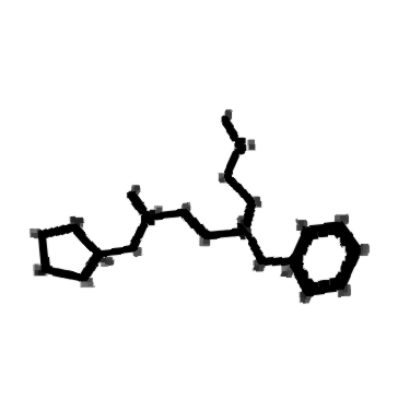 CSCCN(CCN(C)CC1CCCC1)Cc1ccccc1